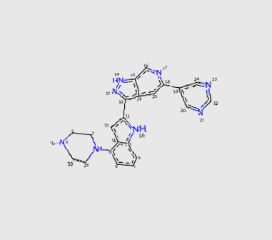 CN1CCN(c2cccc3[nH]c(-c4n[nH]c5cnc(-c6cncnc6)cc45)cc23)CC1